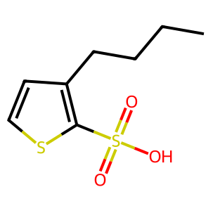 CCCCc1ccsc1S(=O)(=O)O